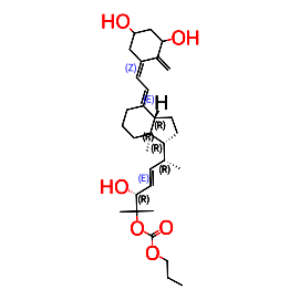 C=C1/C(=C\C=C2/CCC[C@]3(C)[C@@H]([C@H](C)/C=C/[C@@H](O)C(C)(C)OC(=O)OCCC)CC[C@@H]23)CC(O)CC1O